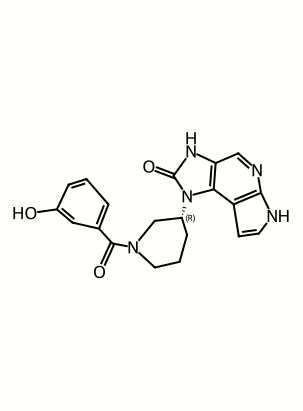 O=C(c1cccc(O)c1)N1CCC[C@@H](n2c(=O)[nH]c3cnc4[nH]ccc4c32)C1